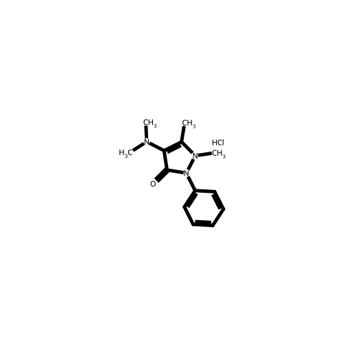 Cc1c(N(C)C)c(=O)n(-c2ccccc2)n1C.Cl